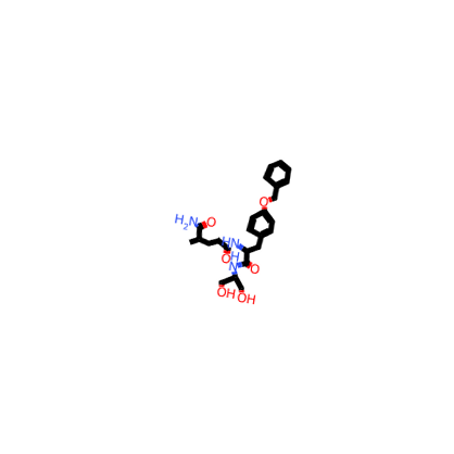 CC(C[CH]C(=O)NC(Cc1ccc(OCc2ccccc2)cc1)C(=O)NC(CO)CO)C(N)=O